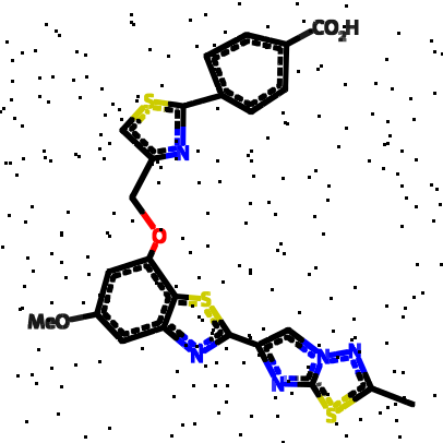 COc1cc(OCc2csc(-c3ccc(C(=O)O)cc3)n2)c2sc(-c3cn4nc(C)sc4n3)nc2c1